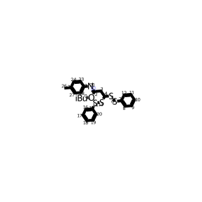 CCC(C)O/C(CC(SSc1ccccc1)SSc1ccccc1)=N\c1ccc(C)cc1